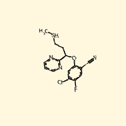 CNCCC(Oc1cc(Cl)c(F)cc1C#N)c1ncccn1